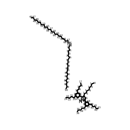 CCCCCCCCC1=C(c2cc(CCCCC)cc(CCCCC)c2)[N+](=[N-])C(c2cc(CCCCC)cc(CCCCC)c2)=C1.CCCCCCCCCCCCCCCCCCCCC[CH2][Ni][CH2]CCCCCCCCCCCCCCCCCCCCC